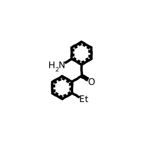 CCc1ccccc1C(=O)c1ccccc1N